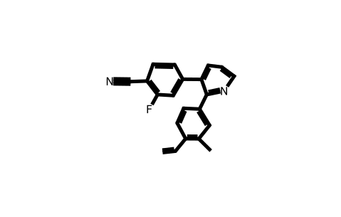 C=Cc1ccc(-c2ncccc2-c2ccc(C#N)c(F)c2)cc1C